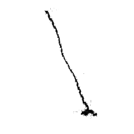 COCCOCCOCCOCCOCCOCCOCCOCCOCCOCCOCCOCCOCCOCCOCCOCCOCCOCCOCCOCCOCCOCCNC(=O)CCC(=O)OCC(c1ccc(-c2scnc2C)cc1)N(C=O)[C@@H]1C[C@@H](O)CN1C(=O)[C@@H](N)C(C)(C)C.Cl